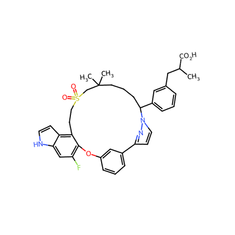 CC(Cc1cccc(C2CCCC(C)(C)CS(=O)(=O)CCc3c(c(F)cc4[nH]ccc34)Oc3cccc(c3)-c3ccn2n3)c1)C(=O)O